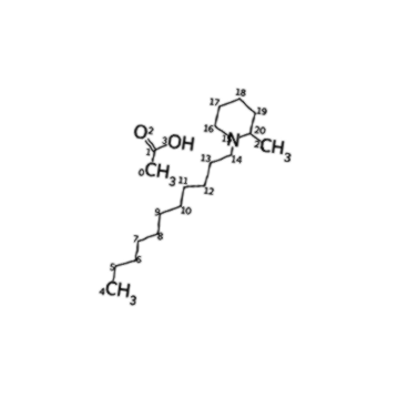 CC(=O)O.CCCCCCCCCCCN1CCCCC1C